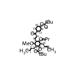 CC=CCc1c(OC)c(C=CC(=O)c2ccc(OC(=O)C(C)(C)C)cc2)c(OCCC)c(CC=CC)c1OC(=O)C(C)(C)C